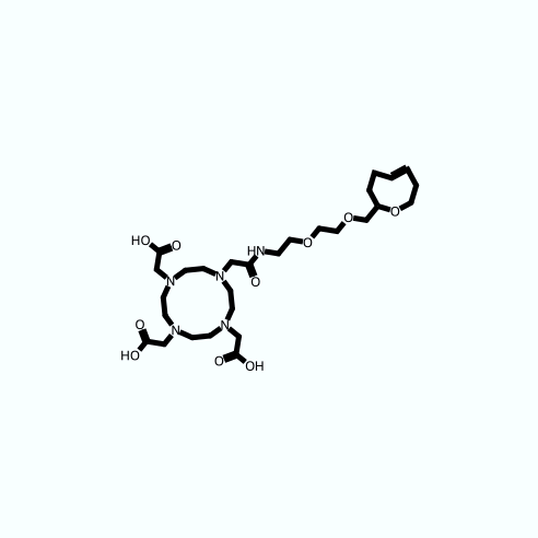 O=C(O)CN1CCN(CC(=O)O)CCN(CC(=O)NCCOCCOCC2CC/C=C/CCO2)CCN(CC(=O)O)CC1